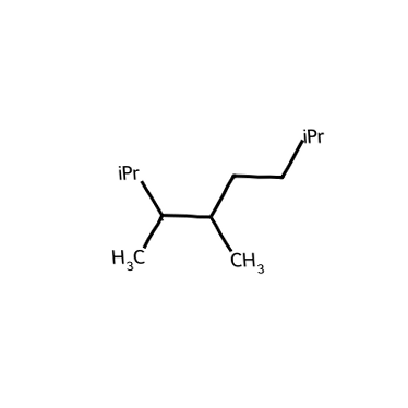 C[C](C(C)C)C(C)CCC(C)C